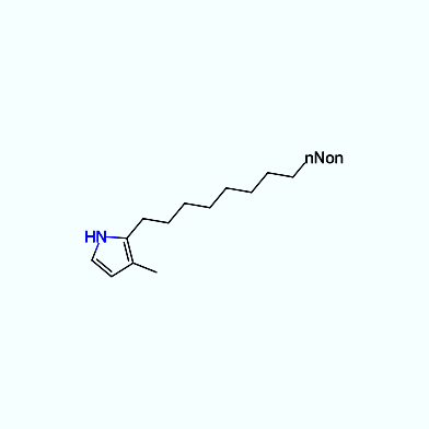 CCCCCCCCCCCCCCCCCc1[nH]ccc1C